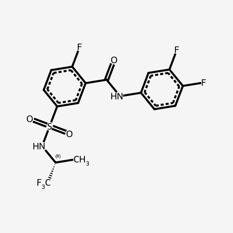 C[C@@H](NS(=O)(=O)c1ccc(F)c(C(=O)Nc2ccc(F)c(F)c2)c1)C(F)(F)F